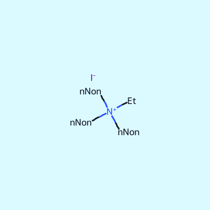 CCCCCCCCC[N+](CC)(CCCCCCCCC)CCCCCCCCC.[I-]